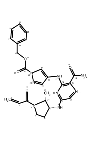 C=CC(=O)N1CC[C@@H](Nc2cnc(C(N)=O)c(Nc3cnn(C(=O)OCc4ccccc4)c3)n2)[C@H]1C